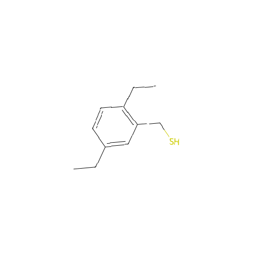 CCc1ccc(CC)c(CS)c1